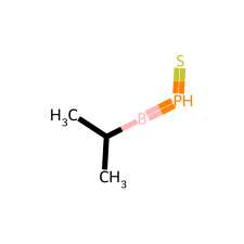 CC(C)B=[PH]=S